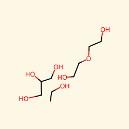 CCO.OCC(O)CO.OCCOCCO